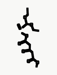 C=C.CCOC(C)OCC.COC(=O)CC(=O)CC(=O)OC